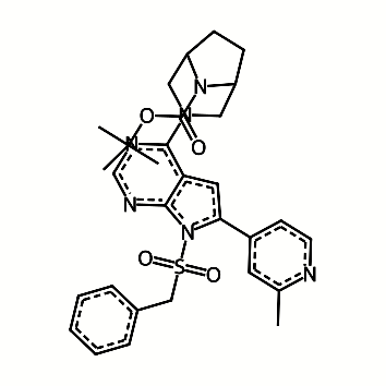 Cc1cc(-c2cc3c(N4CC5CCC(C4)N5C(=O)OC(C)(C)C)ncnc3n2S(=O)(=O)Cc2ccccc2)ccn1